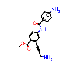 COC(=O)c1ccc(NC(=O)C23CCC(N)(CC2)CC3)cc1C#CCN